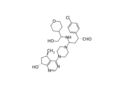 C[C@@H]1C[C@@H](O)c2ncnc(N3CCN(C(C[C@@H](C=O)c4ccc(Cl)cc4)NC(CO)C4CCOCC4)CC3)c21